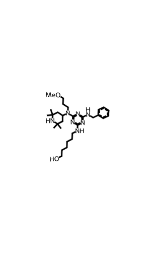 COCCCN(c1nc(NCCCCCCO)nc(NCc2ccccc2)n1)C1CC(C)(C)NC(C)(C)C1